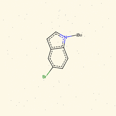 C[CH]C(C)n1ccc2cc(Br)ccc21